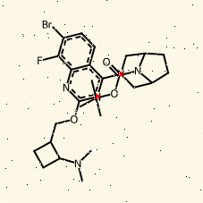 CN(C)C1CCC1COc1nc(N2CC3CCC(C2)N3C(=O)OC(C)(C)C)c2ccc(Br)c(F)c2n1